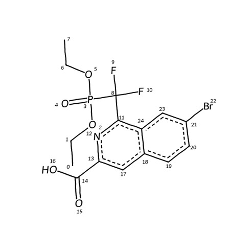 CCOP(=O)(OCC)C(F)(F)c1nc(C(=O)O)cc2ccc(Br)cc12